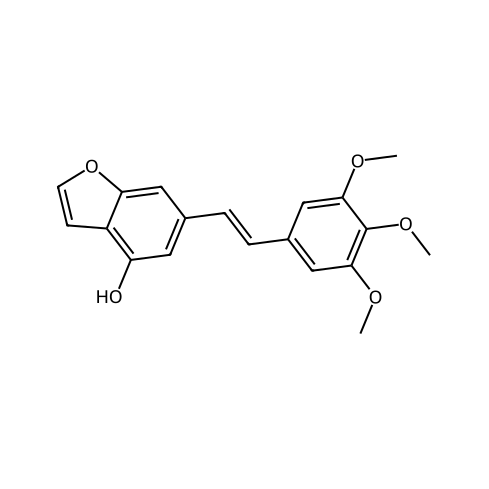 COc1cc(C=Cc2cc(O)c3ccoc3c2)cc(OC)c1OC